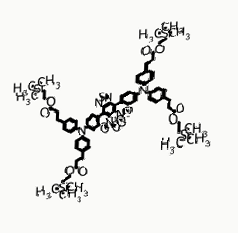 C[Si](C)(C)CCOC(=O)CCc1ccc(N(c2ccc(CCC(=O)OCC[Si](C)(C)C)cc2)c2ccc(-c3c4c(c(-c5ccc(N(c6ccc(CCC(=O)OCC[Si](C)(C)C)cc6)c6ccc(CCC(=O)OCC[Si](C)(C)C)cc6)cc5)c([N+](=O)[O-])c3[N+](=O)[O-])N=S=N4)cc2)cc1